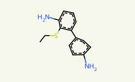 CCSc1c(N)cccc1-c1ccc(N)cc1